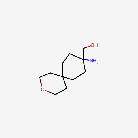 NC1(CO)CCC2(CCOCC2)CC1